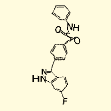 O=S(=O)(Nc1ccccc1)c1ccc(-c2n[nH]c3cc(F)ccc23)cc1